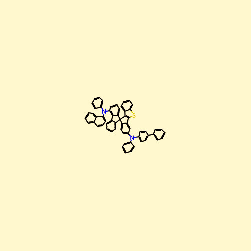 c1ccc(-c2ccc(N(c3ccccc3)c3ccc4c(c3)-c3sc5ccccc5c3C43c4ccccc4-c4c(N(c5ccccc5)c5cccc6ccccc56)cccc43)cc2)cc1